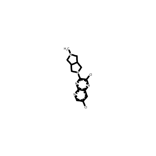 CN1CC2CN(c3nc4ncc(Cl)cc4nc3Cl)CC2C1